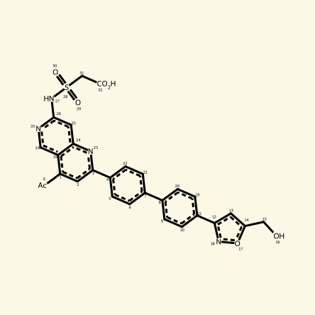 CC(=O)c1cc(-c2ccc(-c3ccc(-c4cc(CO)on4)cc3)cc2)nc2cc(NS(=O)(=O)CC(=O)O)ncc12